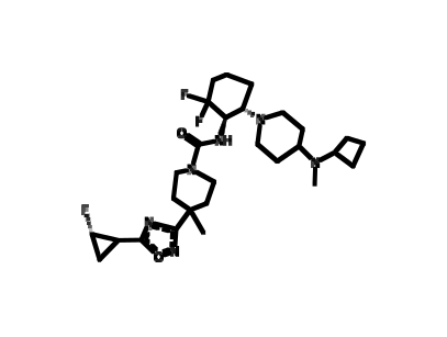 CN(C1CCC1)C1CCN([C@H]2CCCC(F)(F)[C@@H]2NC(=O)N2CCC(C)(c3noc(C4C[C@@H]4F)n3)CC2)CC1